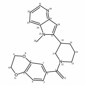 C=C(c1ccc2c(c1)OCCO2)N1CCCC(c2cc3ncccc3n2C)C1